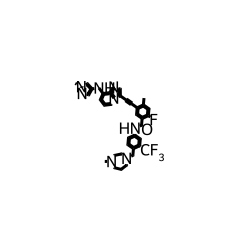 Cc1cc(F)c(C(=O)Nc2ccc(CN3CCCN(C)CC3)c(C(F)(F)F)c2)cc1C#Cc1cnc2c(Nc3cnn(C)c3)cccn12